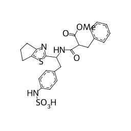 COC(=O)C(Cc1ccccc1)C(=O)NC(Cc1ccc(NS(=O)(=O)O)cc1)c1nc2c(s1)CCC2